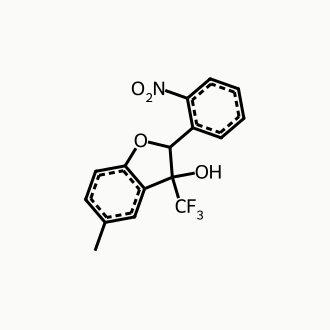 Cc1ccc2c(c1)C(O)(C(F)(F)F)C(c1ccccc1[N+](=O)[O-])O2